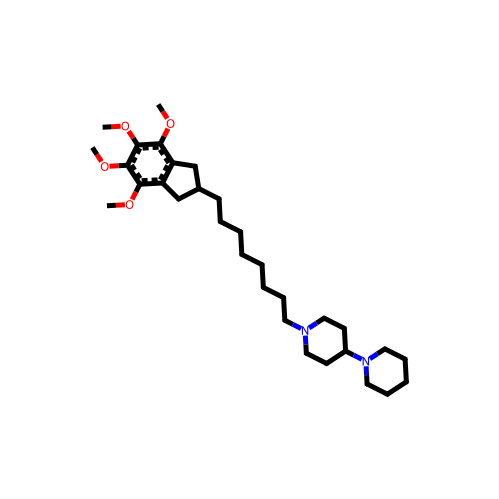 COc1c2c(c(OC)c(OC)c1OC)CC(CCCCCCCCN1CCC(N3CCCCC3)CC1)C2